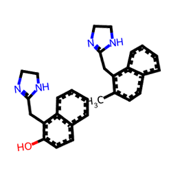 Cc1ccc2ccccc2c1CC1=NCCN1.Oc1ccc2ccccc2c1CC1=NCCN1